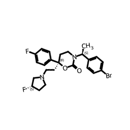 C[C@@H](c1ccc(Br)cc1)N1CC[C@](CCN2CC[C@H](F)C2)(c2ccc(F)cc2)OC1=O